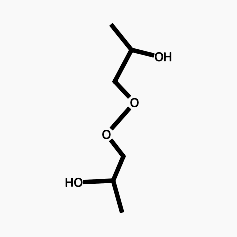 CC(O)COOCC(C)O